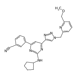 COCc1cccc(Cn2cc(-c3cc(-c4cccc(C#N)c4)nc(NC4CCCC4)n3)nn2)n1